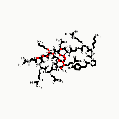 N=C(N)NCCCC[C@H](NC(=O)[C@H](CCC(N)=O)NC(=O)[C@H](CCCNC(=N)N)NC(=O)[C@H](CCCNC(=N)N)NC(=O)[C@H](CCCCN)NC(=O)[C@H](CCCCN)NC(=O)[C@H](CCCNC(=N)N)NC(=O)CNC(=O)[C@H](CCCNC(=N)N)NC(=O)[C@H](CCCCN)NC(=O)[C@@H]1CCCN1C(=O)Cc1ccc(O)cc1)C(=O)N[C@@H](CCCNC(=N)N)C(=O)N[C@@H](CCCNC(=N)N)C(=O)O